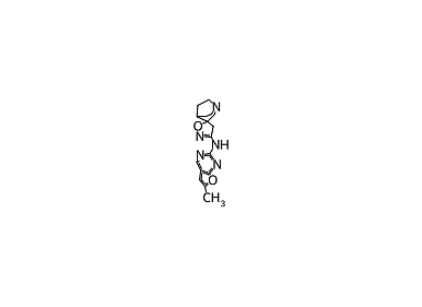 Cc1cc2cnc(NC3=NOC4(C3)CN3CCC4CC3)nc2o1